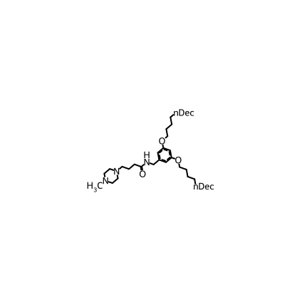 CCCCCCCCCCCCCCOc1cc(CNC(=O)CCCN2CCN(C)CC2)cc(OCCCCCCCCCCCCCC)c1